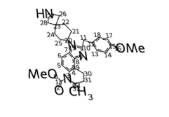 COC(=O)N1c2ccc3c(nc(Cc4ccc(OC)cc4)n3C3CCC4(CC3)CNC4)c2CC[C@@H]1C